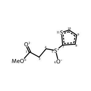 COC(=O)CC[S+]([O-])c1cccs1